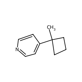 CC1(c2ccncc2)CCC1